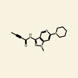 CC#CC(=O)Nc1nn(C)c2cc(N3CCCCC3)ncc12